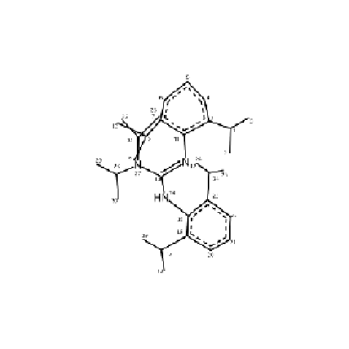 CC(C)c1cccc(C(C)C)c1N=C(Nc1c(C(C)C)cccc1C(C)C)N(C(C)C)C(C)C